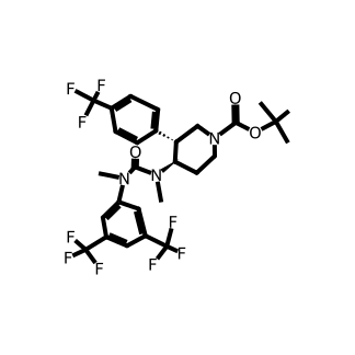 CN(C(=O)N(C)[C@@H]1CCN(C(=O)OC(C)(C)C)C[C@H]1c1ccc(C(F)(F)F)cc1)c1cc(C(F)(F)F)cc(C(F)(F)F)c1